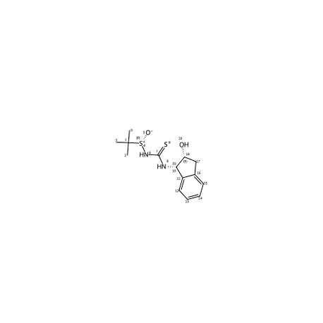 CC(C)(C)[S@+]([O-])NC(=S)N[C@H]1c2ccccc2C[C@H]1O